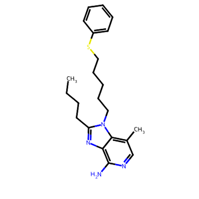 CCCCc1nc2c(N)ncc(C)c2n1CCCCCSc1ccccc1